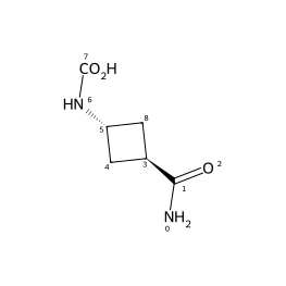 NC(=O)[C@H]1C[C@H](NC(=O)O)C1